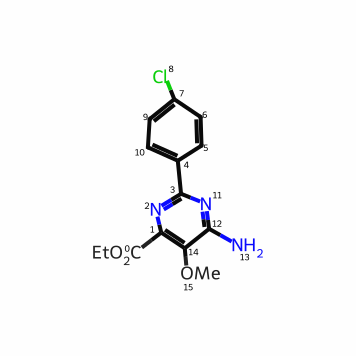 CCOC(=O)c1nc(-c2ccc(Cl)cc2)nc(N)c1OC